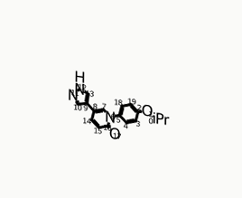 CC(C)Oc1ccc(-n2cc(-c3cn[nH]c3)ccc2=O)cc1